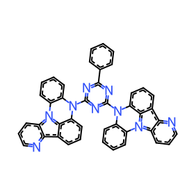 c1ccc(-c2nc(N3c4ccccc4-n4c5cccnc5c5cccc3c54)nc(N3c4ccccc4-n4c5cccnc5c5cccc3c54)n2)cc1